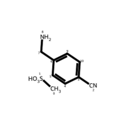 CS(=O)(=O)O.N#Cc1ccc(CN)cc1